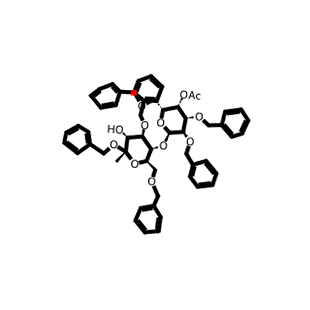 CC(=O)O[C@@H]1[C@H](OCc2ccccc2)[C@@H](OCc2ccccc2)[C@@H](O[C@H]2[C@H](OCc3ccccc3)[C@@H](O)[C@@](C)(OCc3ccccc3)O[C@@H]2COCc2ccccc2)O[C@@H]1COCc1ccccc1